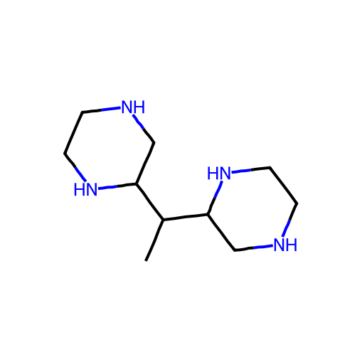 CC(C1CNCCN1)C1CNCCN1